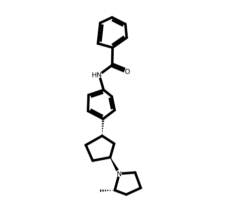 C[C@H]1CCCN1[C@H]1CC[C@H](c2ccc(NC(=O)c3ccccc3)cc2)C1